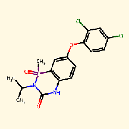 CC(C)N1C(=O)Nc2ccc(Oc3ccc(Cl)cc3Cl)cc2P1(C)=O